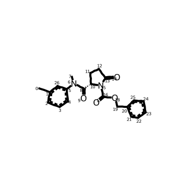 Cc1cccc(N(C)C(=O)[C@@H]2CCC(=O)N2C(=O)OCc2ccccc2)c1